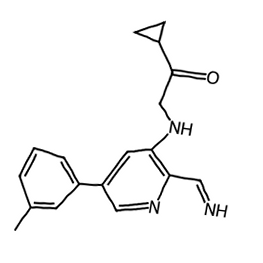 Cc1cccc(-c2cnc(C=N)c(NCC(=O)C3CC3)c2)c1